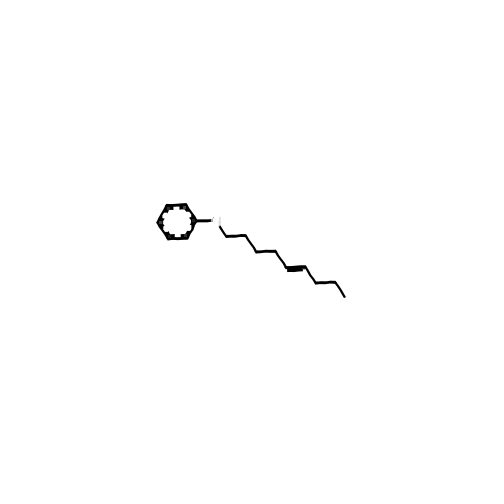 CCCC=CCCCCNc1ccccc1